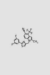 Cc1cc2c(C(F)(F)F)c(C#N)ccc2n1Cc1csc(-c2cc(F)cc(F)c2)n1